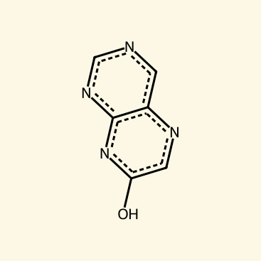 Oc1cnc2cncnc2n1